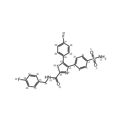 NS(=O)(=O)c1ccc(-c2nc(C(=O)NCc3ccc(F)cc3)sc2-c2ccc(F)cc2)cc1